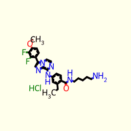 CCc1cc(Nc2nccn3c(-c4ccc(OC)c(F)c4F)cnc23)ccc1C(=O)NCCCCCN.Cl